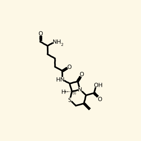 C=C1CS[C@H]2C(NC(=O)CCCC(N)C=O)C(=O)N2C1C(=O)O